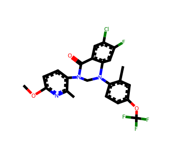 COc1ccc(N2CN(c3ccc(OC(F)(F)F)cc3C)c3cc(F)c(Cl)cc3C2=O)c(C)n1